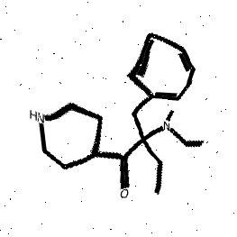 CCC(Cc1ccccc1)(C(=O)C1CCNCC1)N(C)C